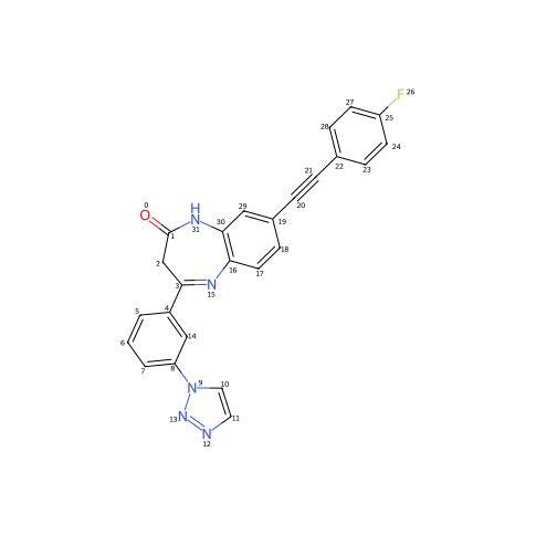 O=C1CC(c2cccc(-n3ccnn3)c2)=Nc2ccc(C#Cc3ccc(F)cc3)cc2N1